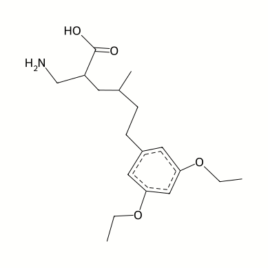 CCOc1cc(CCC(C)CC(CN)C(=O)O)cc(OCC)c1